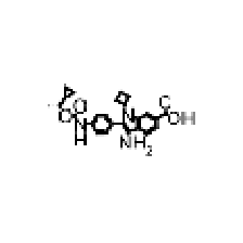 C[C@@H](OC(=O)Nc1ccc(-c2c(N)c3ccc(C(=O)O)cc3n2C2CCC2)cc1)C1CC1